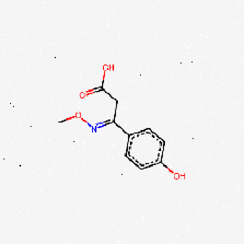 CON=C(CC(=O)O)c1ccc(O)cc1